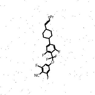 CCCC=CC1CCC(c2cc(F)c(C(F)(F)Oc3cc(F)c(C#N)c(F)c3)c(F)c2)CC1